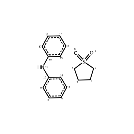 O=S1(=O)CCCC1.c1ccc(Nc2ccccc2)cc1